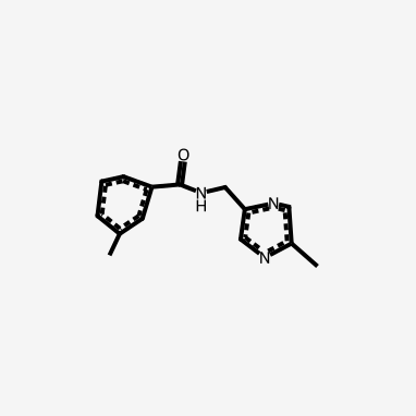 Cc1cccc(C(=O)NCc2cnc(C)cn2)c1